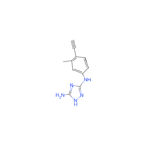 C#Cc1ccc(Nc2n[nH]c(N)n2)cc1C